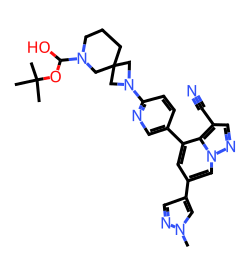 Cn1cc(-c2cc(-c3ccc(N4CC5(CCCN(C(O)OC(C)(C)C)C5)C4)nc3)c3c(C#N)cnn3c2)cn1